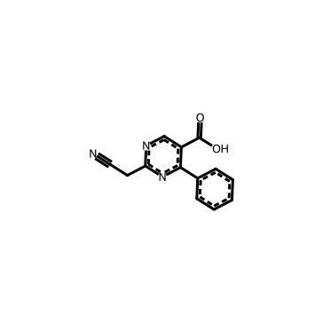 N#CCc1ncc(C(=O)O)c(-c2ccccc2)n1